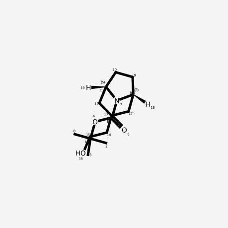 CC(C)(C)OC(=O)N1[C@@H]2CC[C@H]1CC(CCO)C2